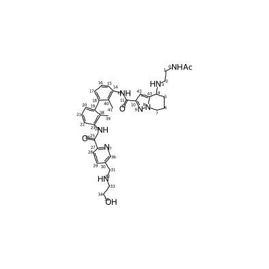 CC(=O)NCCNC1CCCn2nc(C(=O)Nc3cccc(-c4cccc(NC(=O)c5ccc(CNCCO)cn5)c4C)c3C)cc21